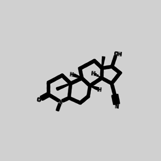 CN1C(=O)CC[C@@]2(C)C1CC[C@@H]1[C@H]2CC[C@]2(C)C(O)CC(C#N)[C@@H]12